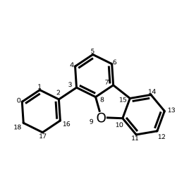 C1=CC(c2cccc3c2oc2ccccc23)=CCC1